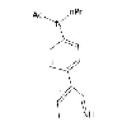 C/C=C(\C=N)c1ccc(N(CCC)C(C)=O)cc1